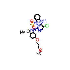 CCOCCCOc1ccc(OC)c(Nc2ncc(Cl)c(Nc3ccccc3NS(C)(=O)=O)n2)c1